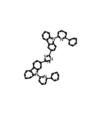 c1ccc(-c2cccc(-n3c4ccccc4c4cc(-c5nnc(-c6ccc7c8ccccc8n(-c8cccc(-c9ccccc9)n8)c7c6)s5)ccc43)n2)cc1